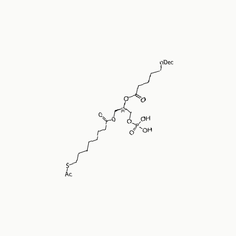 CCCCCCCCCCCCCCC(=O)O[C@H](COC(=O)CCCCCCCSC(C)=O)COP(=O)(O)O